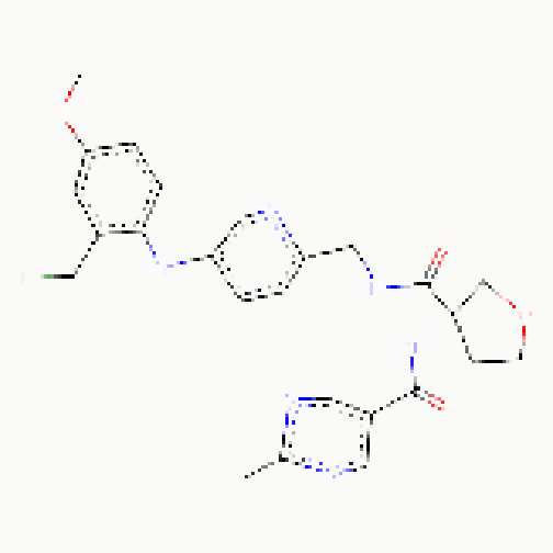 COc1ccc(Nc2ccc(CNC(=O)[C@]3(NC(=O)c4cnc(C)nc4)CCOC3)nc2)c(CF)c1